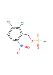 CS(=O)(=O)OCc1c([N+](=O)[O-])ccc(Cl)c1Cl